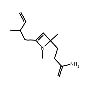 C=CC(C)CC1=CC(C)(CCC(=C)N)N1C